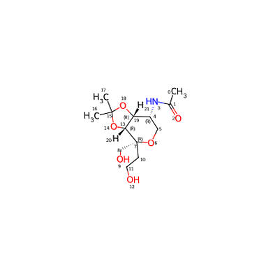 CC(=O)N[C@@H]1CO[C@@](CO)(CCO)[C@@H]2OC(C)(C)O[C@@H]21